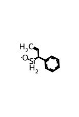 C=CC([SiH2][O])c1ccccc1